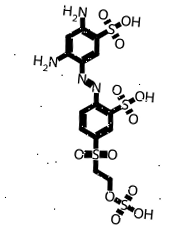 Nc1cc(N)c(S(=O)(=O)O)cc1/N=N/c1ccc(S(=O)(=O)CCOS(=O)(=O)O)cc1S(=O)(=O)O